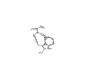 Cc1[nH]c2ccccc2c1/C=N\N(C)C(=O)O